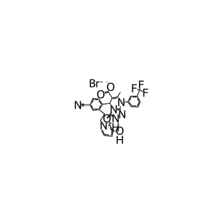 COC(=O)C1=C(C)N(c2cccc(C(F)(F)F)c2)c2n[nH]c(=O)n2C1c1ccc(C#N)cc1CC[n+]1cccc(O)c1.[Br-]